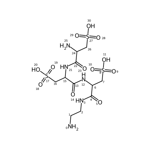 NCCNC(=O)C(CS(=O)(=O)O)NC(=O)C(CS(=O)(=O)O)NC(=O)C(N)CS(=O)(=O)O